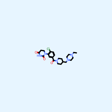 CCN1CCN(CC2CCN(C(=O)c3ccc(Cl)c(N4CCC(=O)NC4=O)c3)CC2)CC1